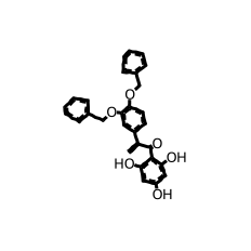 C=C(C(=O)c1c(O)cc(O)cc1O)c1ccc(OCc2ccccc2)c(OCc2ccccc2)c1